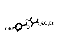 CCCCc1ccc(C(=O)OC(C)C(C)C(C)OC(=O)OCC)cc1